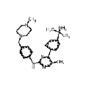 Cc1cnc(Nc2ccc(CN3CCN(C)CC3)cc2)nc1-c1ccc(C(C)(C)N)cc1